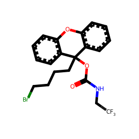 O=C(NCC(F)(F)F)OC1(CCCCBr)c2ccccc2Oc2ccccc21